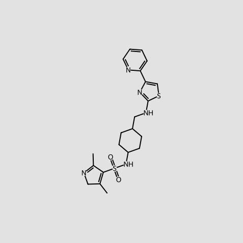 CC1=NCC(C)=C1S(=O)(=O)NC1CCC(CNc2nc(-c3ccccn3)cs2)CC1